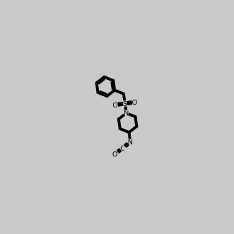 O=C=NC1CCN(S(=O)(=O)Cc2ccccc2)CC1